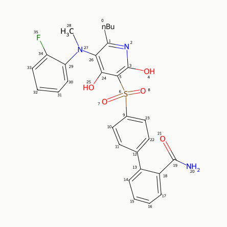 CCCCc1nc(O)c(S(=O)(=O)c2ccc(-c3ccccc3C(N)=O)cc2)c(O)c1N(C)c1ccccc1F